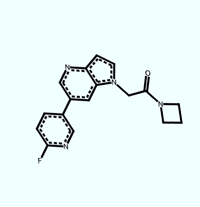 O=C(Cn1ccc2ncc(-c3ccc(F)nc3)cc21)N1CCC1